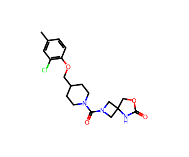 Cc1ccc(OCC2CCN(C(=O)N3CC4(COC(=O)N4)C3)CC2)c(Cl)c1